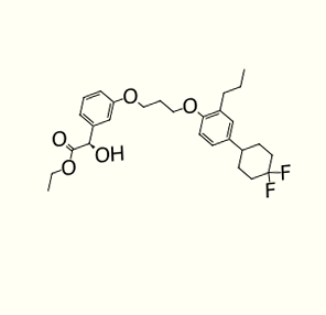 CCCc1cc(C2CCC(F)(F)CC2)ccc1OCCCOc1cccc([C@@H](O)C(=O)OCC)c1